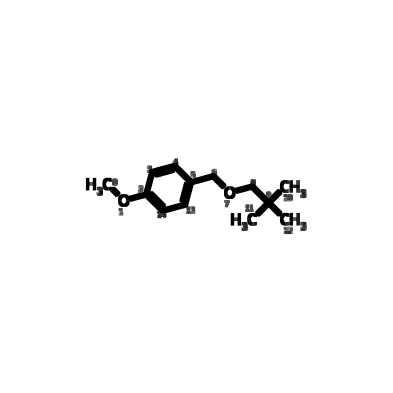 COc1ccc(COCC(C)(C)C)cc1